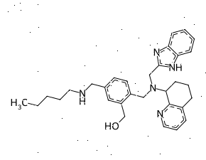 CCCCCNCc1ccc(CN(Cc2nc3ccccc3[nH]2)C2CCCc3cccnc32)c(CO)c1